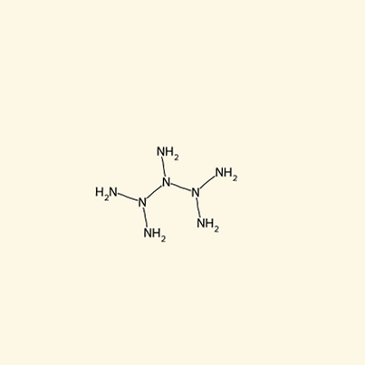 NN(N)N(N)N(N)N